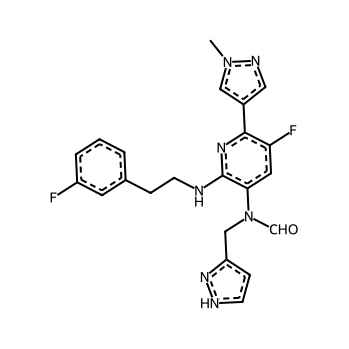 Cn1cc(-c2nc(NCCc3cccc(F)c3)c(N(C=O)Cc3cc[nH]n3)cc2F)cn1